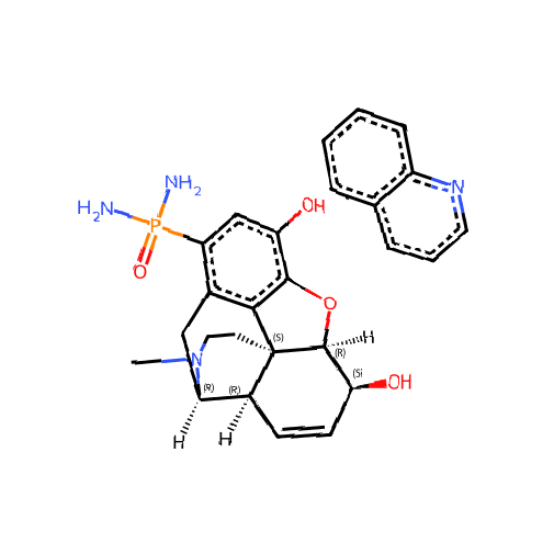 CN1CC[C@]23c4c5c(P(N)(N)=O)cc(O)c4O[C@H]2[C@@H](O)C=C[C@H]3[C@H]1C5.c1ccc2ncccc2c1